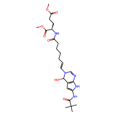 COC(=O)CC[C@@H](NC(=O)CCCCC=CN1C=Nc2[nH]c(NC(=O)C(C)(C)C)cc2C1O)C(=O)OC